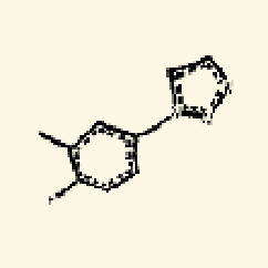 Cc1cc(-n2ccnn2)ccc1F